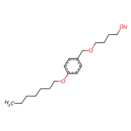 CCCCCCCOc1ccc(COCCCCO)cc1